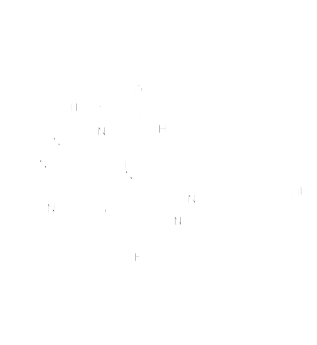 O=C(Nc1cn(C2CCC(O)CC2)nc1C(F)F)c1c(N2C[C@H]3C[C@@H]2CO3)nn2cccnc12